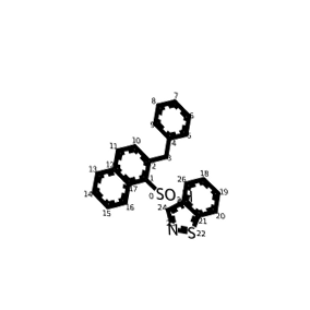 O=S(=O)(O)c1c(Cc2ccccc2)ccc2ccccc12.c1ccc2sncc2c1